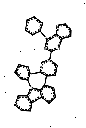 c1ccc(-c2nc(-c3ccc4c(c3)-c3ccccc3-n3c5ccccc5c5cccc-4c53)nc3ccccc23)cc1